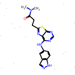 CN(C)C(=O)CCc1nc2c(Nc3ccc4[nH]ncc4c3)ncnc2s1